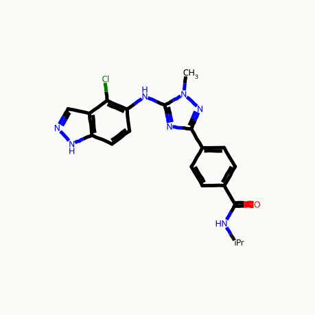 CC(C)NC(=O)c1ccc(-c2nc(Nc3ccc4[nH]ncc4c3Cl)n(C)n2)cc1